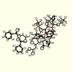 COC(CC1O[C@H](CC(COC(=O)c2ccccc2)OC(=O)c2ccccc2)[C@H](OC)C1C(C(=O)/C=C\CC[C@@H]1OC(C(/C=C/I)O[Si](C)(C)C(C)(C)C)C(O[Si](C)(C)C(C)(C)C)C(O[Si](C)(C)C(C)(C)C)C1O[Si](C)(C)C(C)(C)C)S(=O)(=O)c1ccccc1)OC